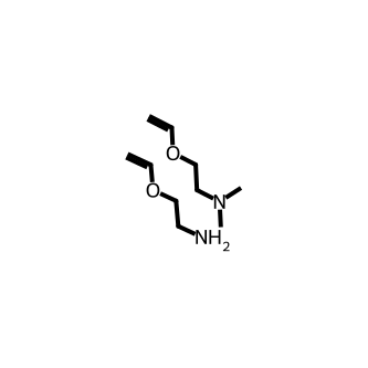 C=COCCN.C=COCCN(C)C